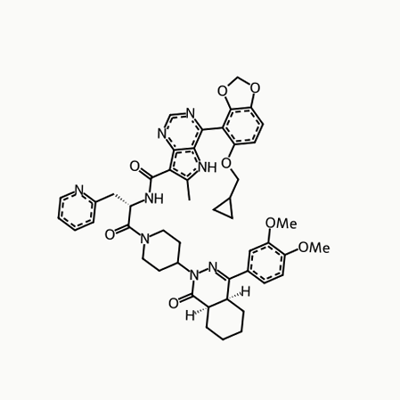 COc1ccc(C2=NN(C3CCN(C(=O)[C@H](Cc4ccccn4)NC(=O)c4c(C)[nH]c5c(-c6c(OCC7CC7)ccc7c6OCO7)ncnc45)CC3)C(=O)[C@@H]3CCCC[C@H]23)cc1OC